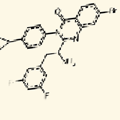 NC(Cc1cc(F)cc(F)c1)c1nc2cc(Br)ccc2c(=O)n1-c1ccc(C2CC2)cc1